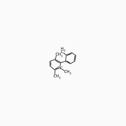 Cc1ccccc1-c1c(C)ccc(C)[n+]1C